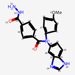 COc1ccc(N(C(=O)c2ccc(C(=O)NN)cc2)c2ccc3[nH]cnc3c2)cc1